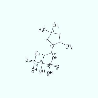 CC1CC(C)(C)CN1CCC(O)(P(=O)(O)O)P(=O)(O)O